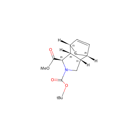 COC(=O)[C@H]1[C@H]2[C@@H](CN1C(=O)OC(C)(C)C)[C@H]1C=C[C@@H]2CC1